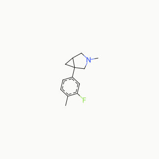 Cc1ccc(C23CC2CN(C)C3)cc1F